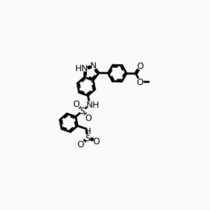 COC(=O)c1ccc(-c2n[nH]c3ccc(NS(=O)(=O)c4ccccc4C[SH](=O)=O)cc23)cc1